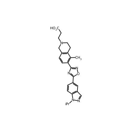 Cc1c(-c2noc(-c3ccc4c(cnn4C(C)C)c3)n2)ccc2c1CCN(CCC(=O)O)C2